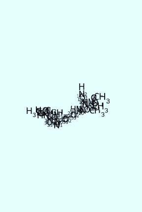 COC(=O)N[C@H](C(=O)N1CC2(CCNCC2)CC1c1ncc(-c2ccc(-c3ccc(-c4cnc([C@@H]5CCCN5C(=O)[C@@H](NC(=O)OC)C(C)C)[nH]4)cc3)cc2)[nH]1)C(C)C